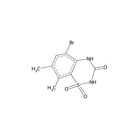 Cc1cc(Br)c2c(c1C)S(=O)(=O)NC(=O)N2